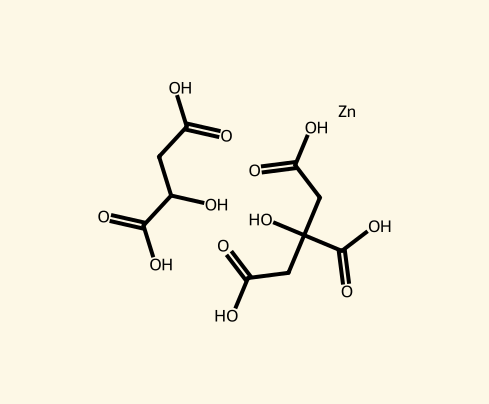 O=C(O)CC(O)(CC(=O)O)C(=O)O.O=C(O)CC(O)C(=O)O.[Zn]